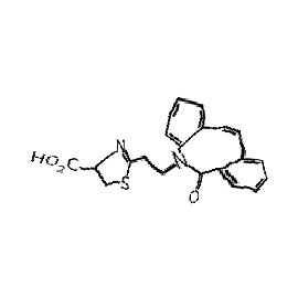 O=C(O)C1CSC(CCN2C(=O)c3ccccc3/C=C\c3ccccc32)=N1